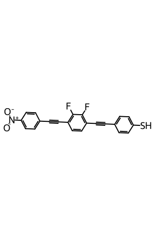 O=[N+]([O-])c1ccc(C#Cc2ccc(C#Cc3ccc(S)cc3)c(F)c2F)cc1